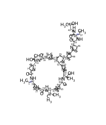 C/C=C1\NC(=O)c2csc(n2)C(C(C)O)NC(=O)c2csc(n2)-c2ccc(-c3nc(-c4nc(C(=O)N/C(=C/C)C(=O)NCC(C)O)cs4)cs3)nc2-c2csc(n2)C(C(C)O)NC(=O)c2csc(n2)C(C(C)C)NC(=O)c2csc1n2